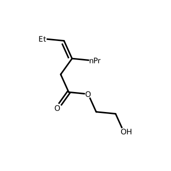 CCC=C(CCC)CC(=O)OCCO